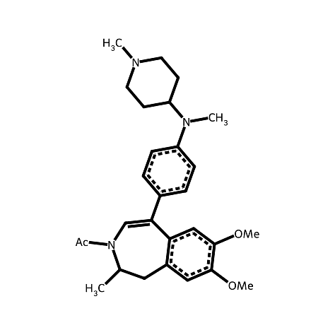 COc1cc2c(cc1OC)C(c1ccc(N(C)C3CCN(C)CC3)cc1)=CN(C(C)=O)C(C)C2